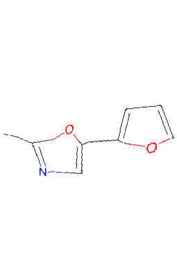 Cc1ncc(-c2ccco2)o1